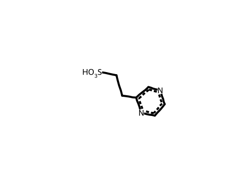 O=S(=O)(O)CCc1cnccn1